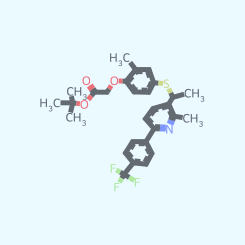 Cc1cc(SC(C)c2ccc(-c3ccc(C(F)(F)F)cc3)nc2C)ccc1OCC(=O)OC(C)(C)C